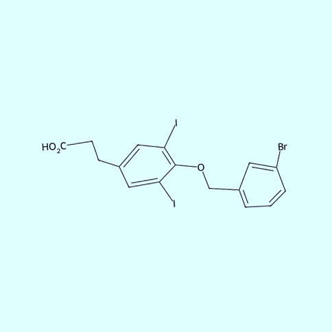 O=C(O)CCc1cc(I)c(OCc2cccc(Br)c2)c(I)c1